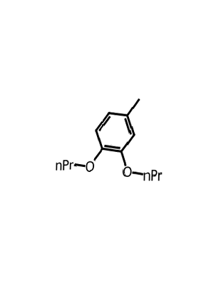 CCCOc1ccc(C)cc1OCCC